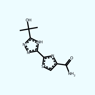 CC(C)(O)c1nnc(-c2nc(C(N)=O)cs2)[nH]1